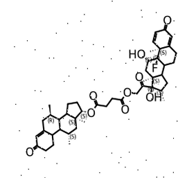 C[C@@H]1CC2=CC(=O)CCC2C2C1C1CC[C@H](OC(=O)CCC(=O)OCC(=O)[C@@]3(O)[C@@H](C)CC4C5CCC6=CC(=O)C=C[C@]6(C)[C@@]5(F)[C@@H](O)C[C@@]43C)[C@@]1(C)C[C@@H]2C